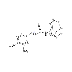 CC(=O)Oc1ccc(/C=C/C(=O)NC23CC4CC(CC(C4)C2)C3)cc1[N+](=O)[O-]